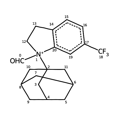 O=C[N+]1(C23CC4CC(CC(C4)C2)C3)CCc2ccc(C(F)(F)F)cc21